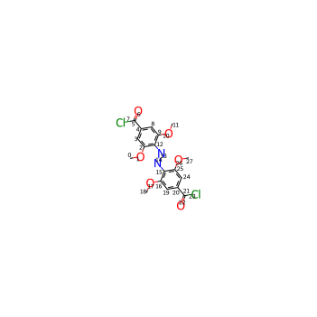 COc1cc(C(=O)Cl)cc(OC)c1N=Nc1c(OC)cc(C(=O)Cl)cc1OC